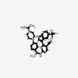 CC(C)N1CCN(c2ccc([C@@H](C)Nc3ncc(C#N)c(-c4c[nH]c5ncc(C(F)(F)F)cc45)n3)cc2)CC1